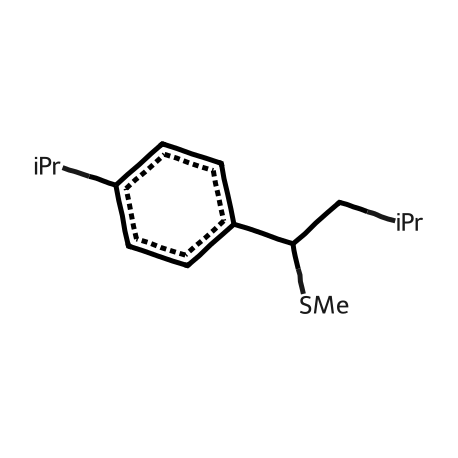 CSC(CC(C)C)c1ccc(C(C)C)cc1